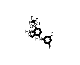 O=S(=O)(c1ccc(Nc2cc(F)cc(Cl)c2)c2cn[nH]c12)C(F)(F)F